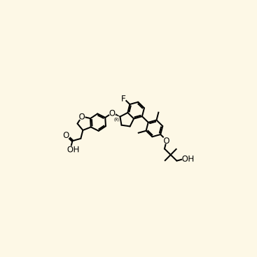 Cc1cc(OCC(C)(C)CO)cc(C)c1-c1ccc(F)c2c1CC[C@H]2Oc1ccc2c(c1)OCC2CC(=O)O